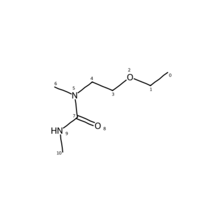 CCOCCN(C)C(=O)NC